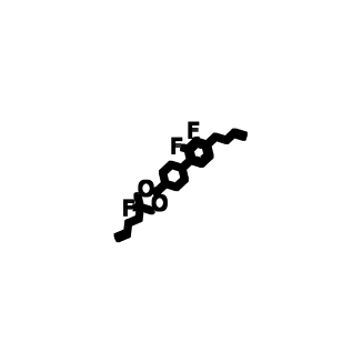 C=CCCc1ccc(C2CCC(C3OCC(F)(CCC=C)CO3)CC2)c(F)c1F